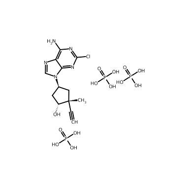 C#C[C@@]1(C)C[C@H](n2cnc3c(N)nc(Cl)nc32)C[C@H]1O.O=P(O)(O)O.O=P(O)(O)O.O=P(O)(O)O